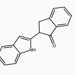 O=C1c2ccccc2CC1c1cc2ccccc2[nH]1